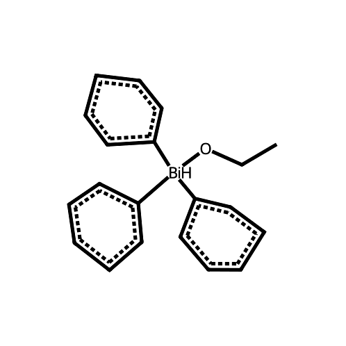 CC[O][BiH]([c]1ccccc1)([c]1ccccc1)[c]1ccccc1